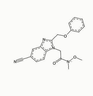 CO[N+](C)C(=O)Cn1c(COc2ccccc2)nc2cc(C#N)ccc21